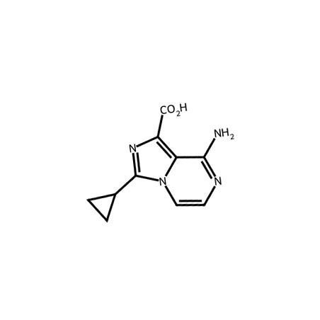 Nc1nccn2c(C3CC3)nc(C(=O)O)c12